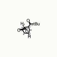 CC(C)(C)C(=O)C1C[C@@H]2CC[C@H]1C(=O)O2